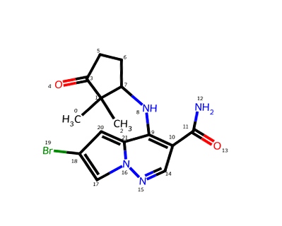 CC1(C)C(=O)CCC1Nc1c(C(N)=O)cnn2cc(Br)cc12